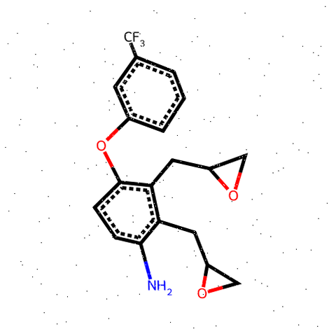 Nc1ccc(Oc2cccc(C(F)(F)F)c2)c(CC2CO2)c1CC1CO1